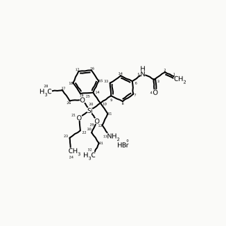 Br.C=CC(=O)Nc1ccc(C(CCN)(c2ccccc2)[Si](OCCC)(OCCC)OCCC)cc1